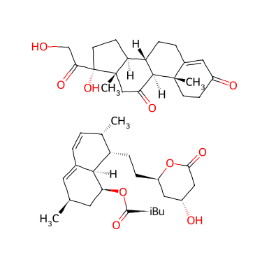 CC[C@H](C)C(=O)O[C@H]1C[C@@H](C)C=C2C=C[C@H](C)[C@H](CC[C@@H]3C[C@@H](O)CC(=O)O3)[C@H]21.C[C@]12CCC(=O)C=C1CC[C@@H]1[C@@H]2C(=O)C[C@@]2(C)[C@H]1CC[C@]2(O)C(=O)CO